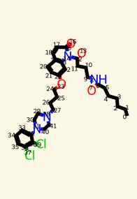 CCCCCCC(=O)NCCCC(=O)n1c(=O)ccc2ccc(OCCCCN3CCN(c4cccc(Cl)c4Cl)CC3)cc21